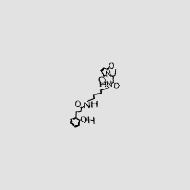 CCC(C(=O)NCCCCCCNC(=O)CCc1ccccc1O)N1C(=O)C=CC1=O